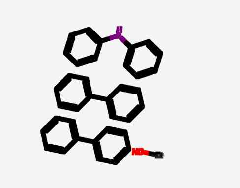 CCO.c1ccc(-c2ccccc2)cc1.c1ccc(-c2ccccc2)cc1.c1ccc(Pc2ccccc2)cc1